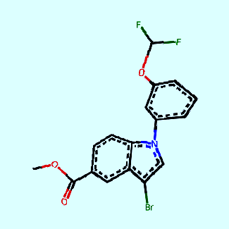 COC(=O)c1ccc2c(c1)c(Br)cn2-c1cccc(OC(F)F)c1